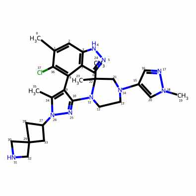 Cc1cc2[nH]ncc2c(-c2c(N3CCN(c4cnn(C)c4)CC3(C)C)nn(C3CC4(CNC4)C3)c2C)c1Cl